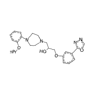 CCCOc1ccccc1N1CCN(CC(O)COc2cccc(-c3nnco3)c2)CC1